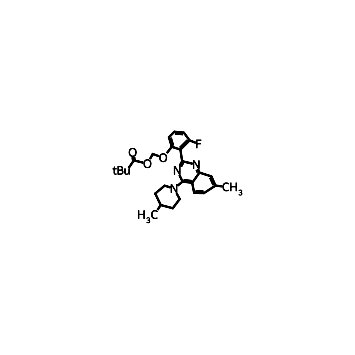 Cc1ccc2c(N3CCC(C)CC3)nc(-c3c(F)cccc3OCOC(=O)C(C)(C)C)nc2c1